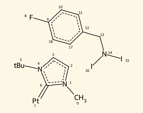 Cn1ccn(C(C)(C)C)[c]1=[Pt].Fc1ccc(CN(I)I)cc1